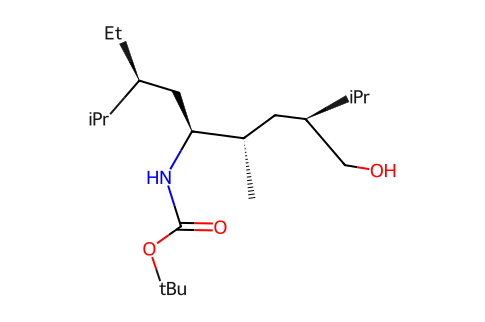 CC[C@@H](C[C@H](NC(=O)OC(C)(C)C)[C@@H](C)C[C@H](CO)C(C)C)C(C)C